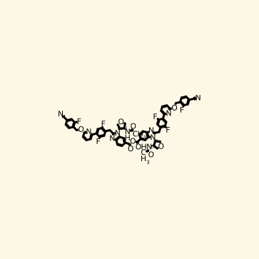 CC(=O)N[C@@H]1COC[C@@H]1n1c(Cc2cc(F)c(-c3cccc(OCc4ccc(C#N)cc4F)n3)cc2F)nc2ccc(C(=O)OC(=O)c3ccc4nc(Cc5cc(F)c(-c6cccc(OCc7ccc(C#N)cc7F)n6)cc5F)n([C@H]5COC[C@H]5NC(C)=O)c4c3)cc21